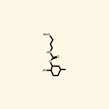 COCCCNC(=O)OC1CC(C)CCC1C(C)C